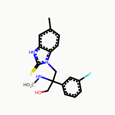 Cc1ccc2c(c1)[nH]c(=S)n2CC(CO)(NC(=O)O)c1cccc(F)c1